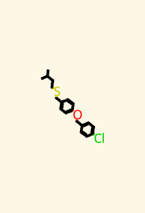 CC(C)CCSCc1ccc(OCc2ccc(Cl)cc2)cc1